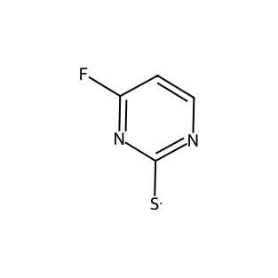 Fc1ccnc([S])n1